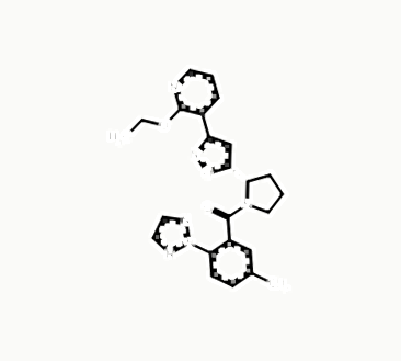 CCOc1ncccc1-c1cc([C@@H]2CCCN2C(=O)c2cc(C)ccc2-n2nccn2)on1